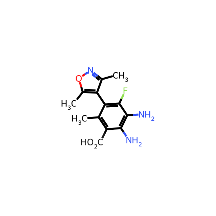 Cc1noc(C)c1-c1c(C)c(C(=O)O)c(N)c(N)c1F